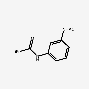 CC(=O)Nc1cccc(NC(=O)C(C)C)c1